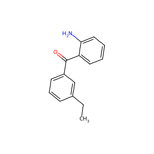 CCc1cccc(C(=O)c2ccccc2N)c1